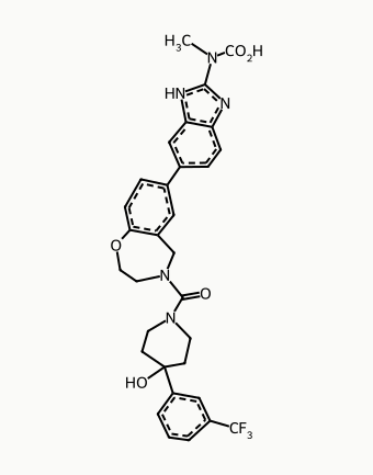 CN(C(=O)O)c1nc2ccc(-c3ccc4c(c3)CN(C(=O)N3CCC(O)(c5cccc(C(F)(F)F)c5)CC3)CCO4)cc2[nH]1